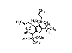 C=CC[Si](C)(C)C1=C(C(CCC)[Si](OC)(OC)OC)C[C]([Pt]([CH3])([CH3])[CH3])=C1[Si](C)(C)CC=C